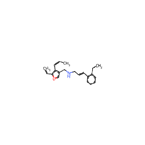 C=Cc1occ(CNC/C=C/c2ccccc2CC)c1/C=C\C